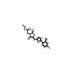 CCOC(=O)CN1C(=O)S/C(=C\c2ccc(-c3ccc(C)cc3Br)o2)C1=O